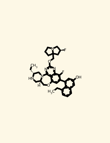 CCc1cccc2cc(O)cc(-c3cc4c5c(nc(OCC67CCCN6C[C@@H](F)C7)nc5c3F)N3C[C@@H](CC)NC[C@@H]3CO4)c12